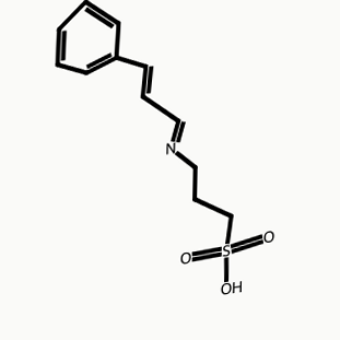 O=S(=O)(O)CCC/N=C/C=C/c1ccccc1